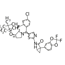 CC(C)(C)[Si](C)(C)O[C@@H]1CCN([C@H](c2cnc(NC(=O)C3(c4ccc5c(c4)OC(F)(F)O5)CC3)s2)c2ccc(Cl)cc2F)C1